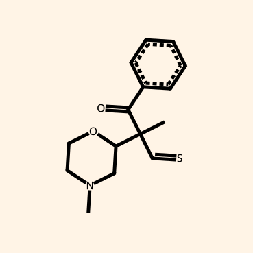 CN1CCOC(C(C)(C=S)C(=O)c2ccccc2)C1